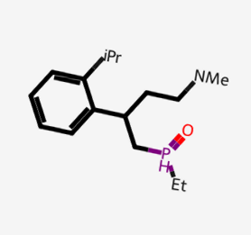 CC[PH](=O)CC(CCNC)c1ccccc1C(C)C